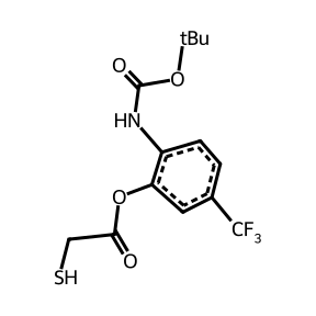 CC(C)(C)OC(=O)Nc1ccc(C(F)(F)F)cc1OC(=O)CS